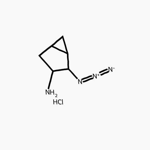 Cl.[N-]=[N+]=NC1C(N)CC2CC21